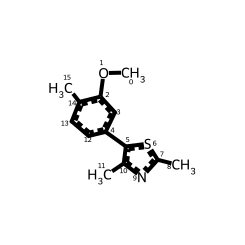 COc1cc(-c2sc(C)nc2C)ccc1C